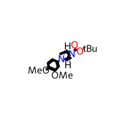 COc1ccc(N2C[C@H]3C[C@@H]2CN3C(=O)OC(C)(C)C)cc1OC